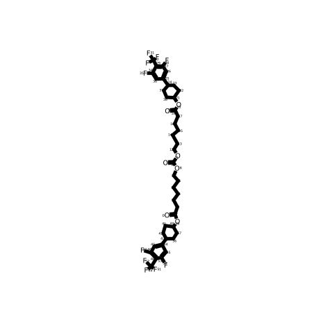 O=C(CCCCCCOC(=O)OCCCCCCC(=O)OC1CCC(c2cc(F)c(C(F)(F)F)c(F)c2)CC1)OC1CCC(c2cc(F)c(C(F)(F)F)c(F)c2)CC1